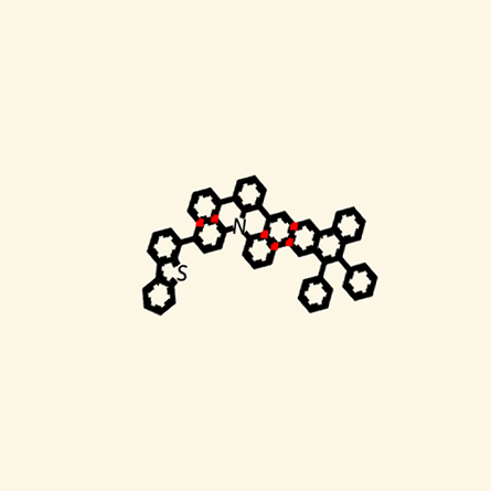 c1ccc(-c2cccc(-c3ccccc3)c2N(c2ccc(-c3cccc4c3sc3ccccc34)cc2)c2cccc(-c3ccc4c(c3)c(-c3ccccc3)c(-c3ccccc3)c3ccccc34)c2)cc1